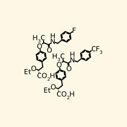 CCO[C@H](Cc1ccc(OC(C)C(=O)NCc2ccc(C(F)(F)F)cc2)cc1)C(=O)O.CCO[C@H](Cc1ccc(OC(C)C(=O)NCc2ccc(F)cc2)cc1)C(=O)O